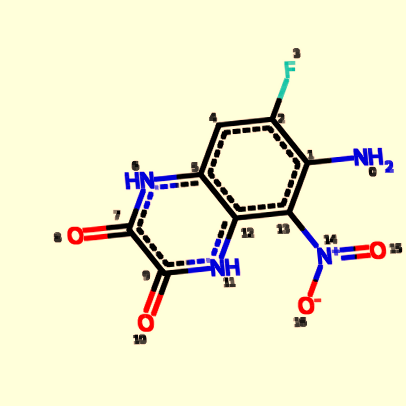 Nc1c(F)cc2[nH]c(=O)c(=O)[nH]c2c1[N+](=O)[O-]